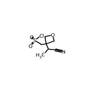 CC(C#N)C1(CS(=O)(=O)Cl)COC1